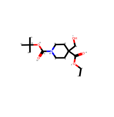 CCOC(=O)C1(CO)CCN(C(=O)OC(C)(C)C)CC1